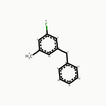 Cc1cc(F)cc(Cc2ccccc2)c1